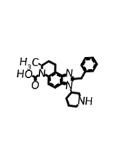 C[C@H]1CCc2c(ccc3c2nc(Cc2ccccc2)n3[C@@H]2CCCNC2)N1C(=O)O